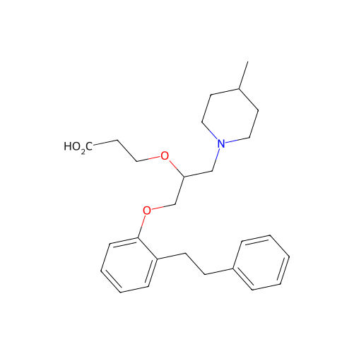 CC1CCN(CC(COc2ccccc2CCc2ccccc2)OCCC(=O)O)CC1